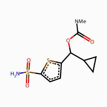 CNC(=O)OC(c1ccc(S(N)(=O)=O)s1)C1CC1